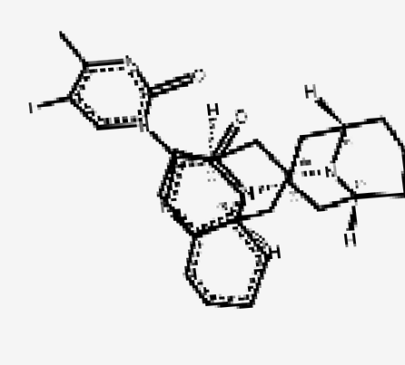 Cc1nc(=O)n(-c2nc3ccccc3n([C@H]3C[C@H]4CCC[C@@H](C3)N4[C@H]3C[C@@H]4CCC[C@@H](C4)C3)c2=O)cc1F